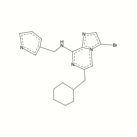 Brc1cnc2c(NCc3cccnc3)nc(CC3CCCCC3)cn12